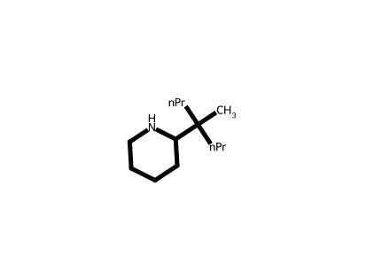 CCCC(C)(CCC)C1CCCCN1